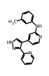 Cc1cccc(Nc2cc(-c3c[nH]nc3-c3ccccn3)ccn2)c1